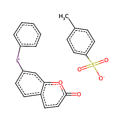 Cc1ccc(S(=O)(=O)[O-])cc1.O=c1ccc2ccc([I+]c3ccccc3)cc2o1